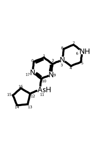 c1cc(N2CCNCC2)nc([AsH]C2CCCC2)n1